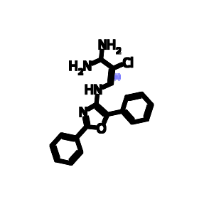 NC(N)/C(Cl)=C\Nc1nc(-c2ccccc2)oc1-c1ccccc1